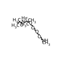 CCC(C)C(=O)NCC(F)C(C)(C)OCCOCCOCCOCCNC